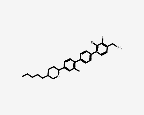 BCc1ccc(-c2ccc(-c3ccc(C4CCC(CCCCC)CO4)cc3F)cc2)c(F)c1F